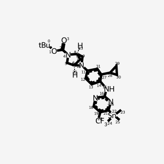 CC(C)(C)OC(=O)N1C[C@H]2C[C@@H]1CN2c1ccc(Nc2ncc(C(F)(F)F)[c]([Sn]([CH3])([CH3])[CH3])n2)c(C2CC2)c1